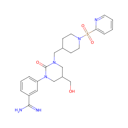 N=C(N)c1cccc(N2CC(CO)CN(CC3CCN(S(=O)(=O)c4ccccn4)CC3)C2=O)c1